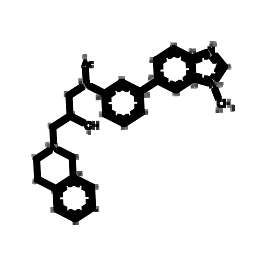 CC(=O)N(CC(O)CN1CCc2ccccc2C1)c1cccc(-c2ccc3ncn(C)c3c2)c1